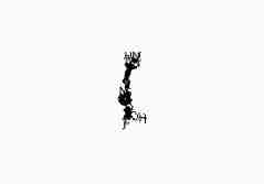 CNc1ncc(C#C/C=C/c2nc3ccc(OCC(O)CF)cc3s2)cn1